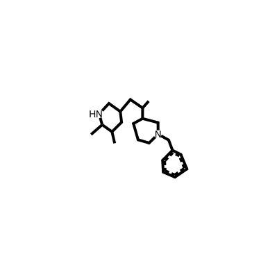 CC(CC1CNC(C)C(C)C1)C1CCCN(Cc2ccccc2)C1